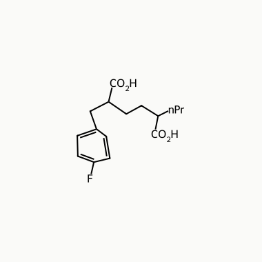 CCCC(CCC(Cc1ccc(F)cc1)C(=O)O)C(=O)O